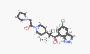 CC(C)(C1CCN(C(=O)CN2CCCC2)CC1)C(O)c1cc(Cl)cc2cn[nH]c12